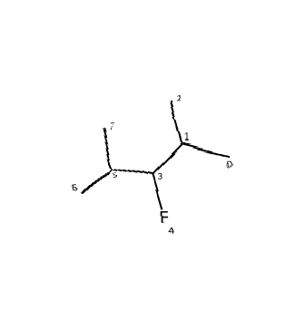 CC(C)C(F)C(C)C